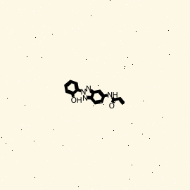 C=CC(=O)Nc1ccc2nn(-c3ccccc3O)nc2c1